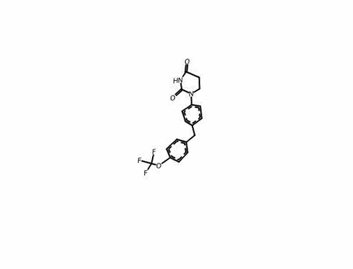 O=C1CCN(c2ccc(Cc3ccc(OC(F)(F)F)cc3)cc2)C(=O)N1